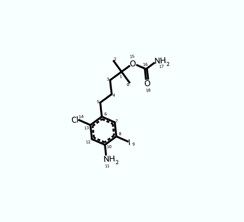 CC(C)(CCCc1cc(I)c(N)cc1Cl)OC(N)=O